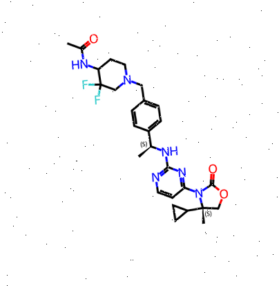 CC(=O)NC1CCN(Cc2ccc([C@H](C)Nc3nccc(N4C(=O)OC[C@]4(C)C4CC4)n3)cc2)CC1(F)F